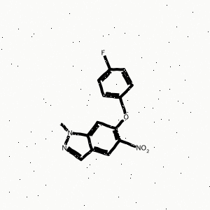 Cn1ncc2cc([N+](=O)[O-])c(Oc3ccc(F)cc3)cc21